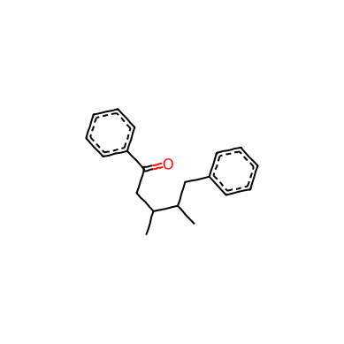 CC(CC(=O)c1ccccc1)C(C)Cc1ccccc1